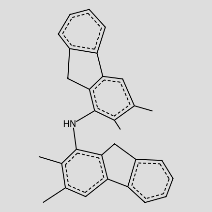 Cc1cc2c(c(Nc3c(C)c(C)cc4c3Cc3ccccc3-4)c1C)Cc1ccccc1-2